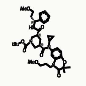 COCCCN1C(=O)C(C)(C)Oc2ccc(N(C(=O)[C@@H]3C[C@H](C(=O)N[C@H](CCOC)c4ccccc4)CN(C(=O)OC(C)(C)C)C3)C3CC3)cc21